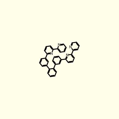 c1ccc(-c2cccc(-c3cccc(-c4ccccc4-c4cccc(-c5cccc(-c6ccccn6)n5)c4)c3)n2)nc1